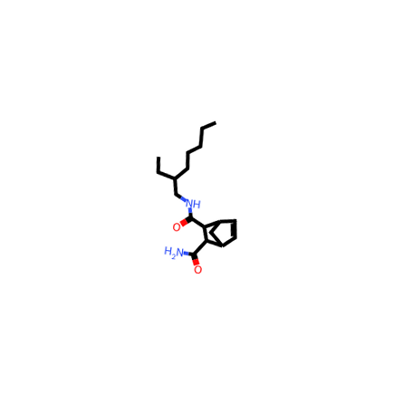 CCCCCC(CC)CNC(=O)C1C2C=CC(C2)C1C(N)=O